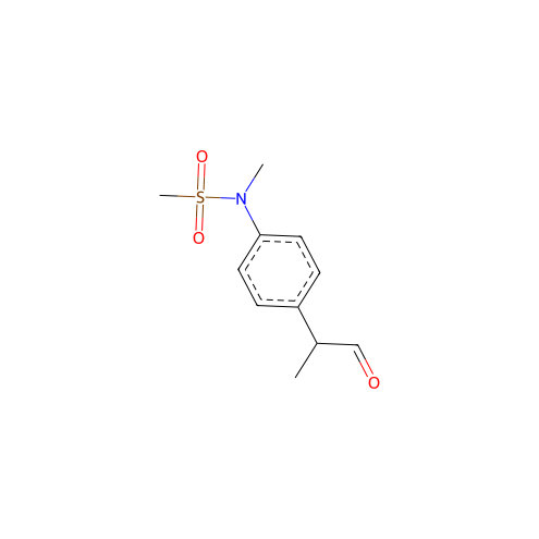 CC(C=O)c1ccc(N(C)S(C)(=O)=O)cc1